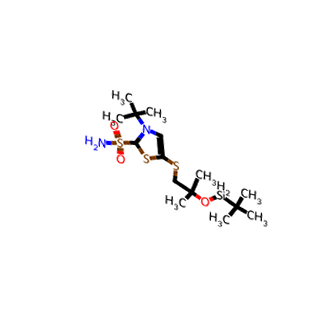 CC(C)(CSC1=CN(C(C)(C)C)C(S(N)(=O)=O)S1)O[SiH2]C(C)(C)C